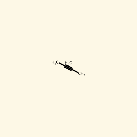 CC#CC.O